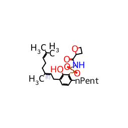 CCCCCc1ccc(C/C=C(\C)CCC=C(C)C)c(O)c1S(=O)(=O)NC(=O)C1CCO1